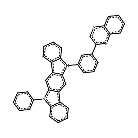 c1ccc(-n2c3ccccc3c3cc4c(cc32)c2ccccc2n4-c2cccc(-c3cnc4ccccc4n3)c2)cc1